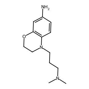 CN(C)CCCN1CCOc2cc(N)ccc21